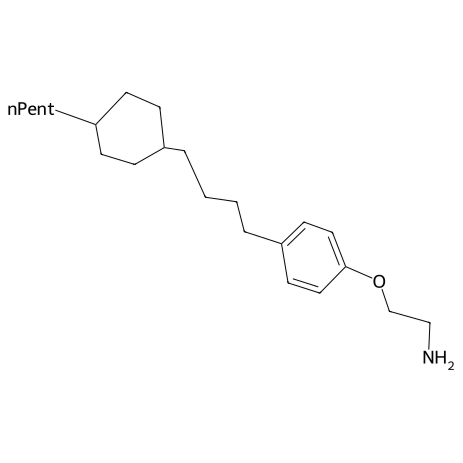 CCCCCC1CCC(CCCCc2ccc(OCCN)cc2)CC1